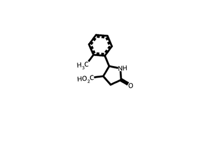 Cc1ccccc1C1NC(=O)CC1C(=O)O